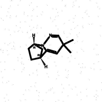 CC1(C)C=NN2C(=C1)[C@H]1CC[C@@H]2C1